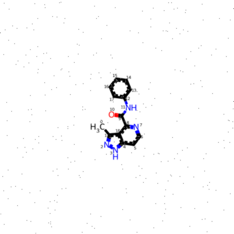 Cc1n[nH]c2ccnc(C(=O)Nc3ccccc3)c12